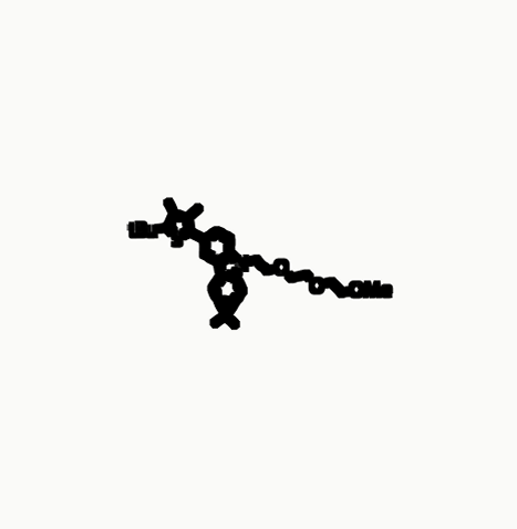 COCCOCCOCCn1c2ccc(-c3sc(C(C)(C)C)c(C)c3C)cc2c2cc3c(cc21)C3(C)C